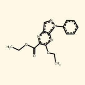 CCOC(=O)c1nc2cnn(-c3ccccc3)c2nc1OCC